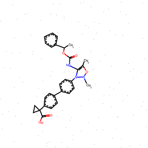 CC1=C(NC(=O)OC(C)c2ccccc2)N(c2ccc(-c3ccc(C4(C(=O)O)CC4)cc3)cc2)N(C)O1